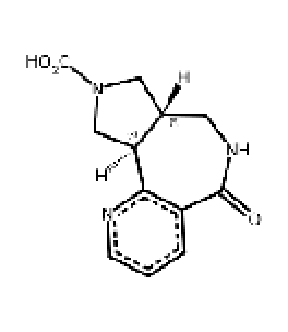 O=C1NC[C@H]2CN(C(=O)O)C[C@@H]2c2ncccc21